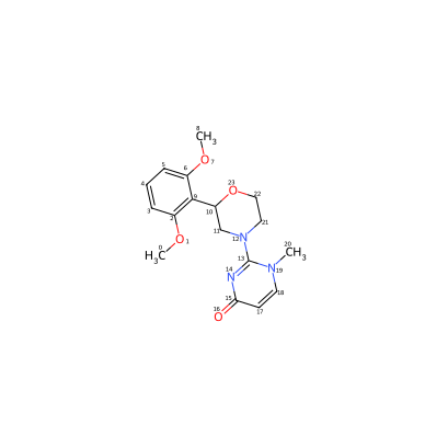 COc1cccc(OC)c1C1CN(c2nc(=O)ccn2C)CCO1